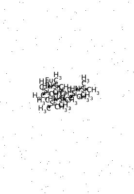 C[Si](C)(C)N[Si](C)(C)C.C[Si](C)(C)N[Si](C)(C)C.C[Si](C)(C)N[Si](C)(C)C.[Eu]